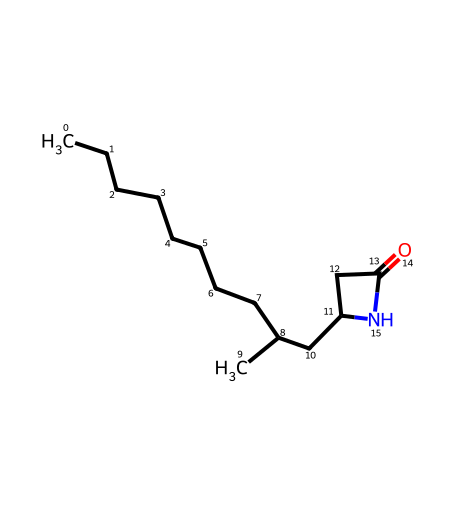 CCCCCCCCC(C)CC1CC(=O)N1